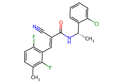 Cc1ccc(F)c(/C=C(\C#N)C(=O)N[C@@H](C)c2ccccc2Cl)c1F